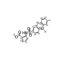 COC(=O)c1sccc1NS(=O)(=O)c1ccc(OC)c(Cc2ccccc2)c1